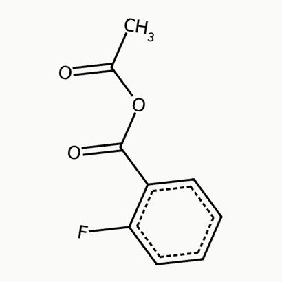 CC(=O)OC(=O)c1ccccc1F